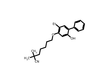 CCc1cc(-c2ccccc2)c(O)cc1OCCCCCC(C)(C)C#N